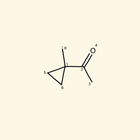 [CH2]C1(C(C)=O)CC1